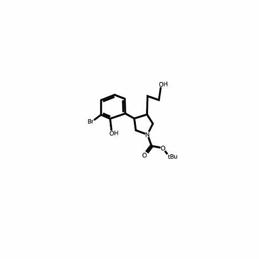 CC(C)(C)OC(=O)N1CC(CCO)C(c2cccc(Br)c2O)C1